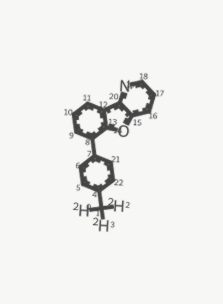 [2H]C([2H])([2H])c1ccc(-c2cccc3c2oc2cccnc23)cc1